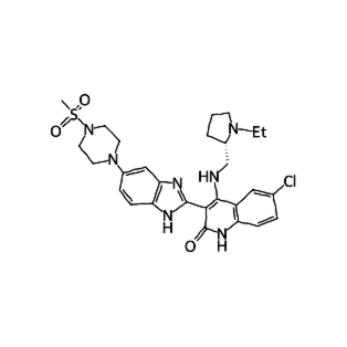 CCN1CCC[C@H]1CNc1c(-c2nc3cc(N4CCN(S(C)(=O)=O)CC4)ccc3[nH]2)c(=O)[nH]c2ccc(Cl)cc12